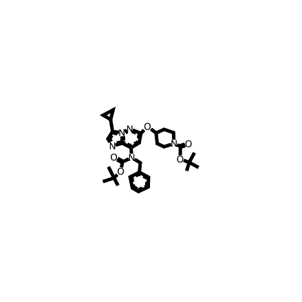 CC(C)(C)OC(=O)N1CCC(Oc2cc(N(Cc3ccccc3)C(=O)OC(C)(C)C)c3ncc(C4CC4)n3n2)CC1